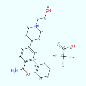 NC(=O)c1ccc(C2CCN(CCO)CC2)cc1C1=CCCCC1.O=C(O)C(F)(F)F